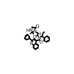 CCC(NC(=O)c1c(OCCN2C(=O)CNC2(C)C)c(-c2ccccc2)nc2ccccc12)c1ccccc1